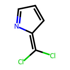 ClC(Cl)=C1C=CC=N1